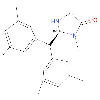 Cc1cc(C)cc(C(c2cc(C)cc(C)c2)[C@H]2NCC(=O)N2C)c1